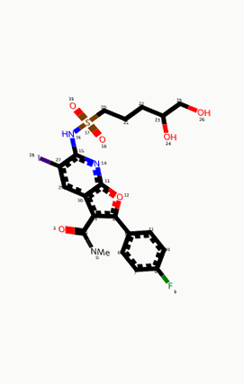 CNC(=O)c1c(-c2ccc(F)cc2)oc2nc(NS(=O)(=O)CCCC(O)CO)c(I)cc12